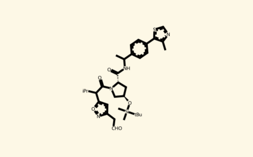 Cc1ncsc1-c1ccc(C(C)NC(=O)[C@@H]2C[C@@H](O[Si](C)(C)C(C)(C)C)CN2C(=O)C(c2cc(CC=O)no2)C(C)C)cc1